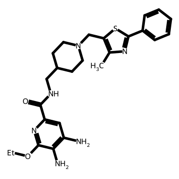 CCOc1nc(C(=O)NCC2CCN(Cc3sc(-c4ccccc4)nc3C)CC2)cc(N)c1N